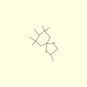 CC1COC2(CC(C)(C)C(C)C(C)(C)C2)O1